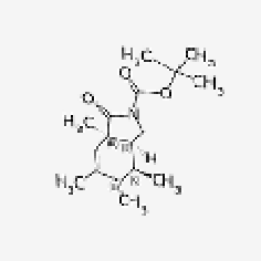 CC1=C[C@@]2(C)C(=O)N(C(=O)OC(C)(C)C)C[C@H]2[C@@H](C)[C@@H]1C